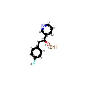 Br.O=C(Cc1ccc(F)cc1)c1cccnc1